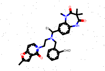 CCC(c1ccc2c(c1)N(C)C(=O)C(C)(C)C(=O)N2)N(CCn1ccc2oc(C)cc2c1=O)Cc1ccccc1C=O